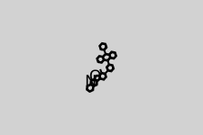 Cc1c(-c2cccc(-c3c4ccccc4c(-c4ccccc4)c4ccccc34)c2)ccc2c1oc1nc3ccccc3cc12